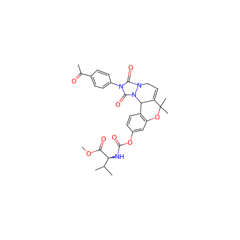 COC(=O)[C@@H](NC(=O)Oc1ccc2c(c1)OC(C)(C)C1=CCn3c(=O)n(-c4ccc(C(C)=O)cc4)c(=O)n3C12)C(C)C